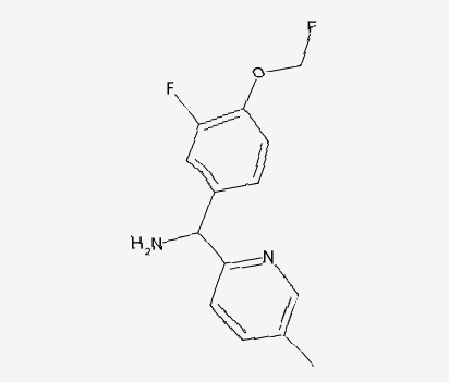 Cc1ccc(C(N)c2ccc(OCF)c(F)c2)nc1